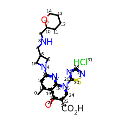 Cc1cc(N2CC(CNCC3CCCCO3)C2)nc2c1c(=O)c(C(=O)O)cn2-c1ncns1.Cl